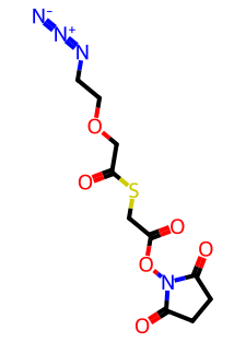 [N-]=[N+]=NCCOCC(=O)SCC(=O)ON1C(=O)CCC1=O